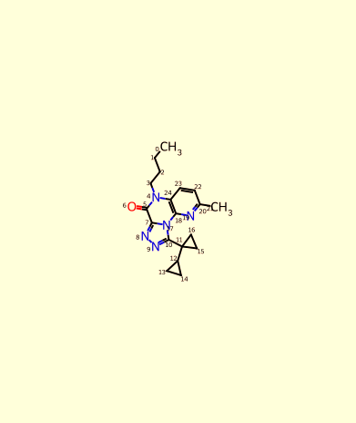 CCCCn1c(=O)c2nnc(C3(C4CC4)CC3)n2c2nc(C)ccc21